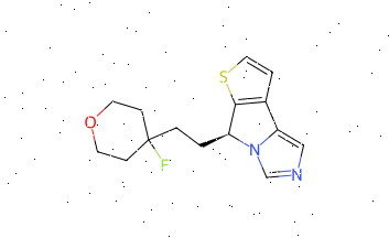 FC1(CC[C@H]2c3sccc3-c3cncn32)CCOCC1